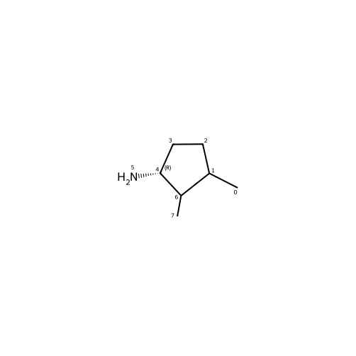 CC1CC[C@@H](N)C1C